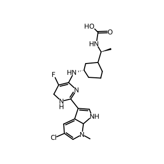 C[C@H](NC(=O)O)C1CCC[C@H](NC2=C(F)CNC(C3=CNC4C3=CC(Cl)=CN4C)=N2)C1